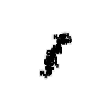 COc1ccc(-c2cnc(C(=O)Nc3ccc(C(=O)N[C@H]4[C@@H]5CN(C(=O)N[C@@H]6C[N+](C)(C)C[C@H]6O)C[C@@H]54)c(Cl)c3)n2C)c(F)c1F